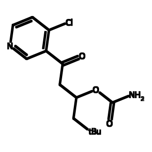 CC(C)(C)CC(CC(=O)c1cnccc1Cl)OC(N)=O